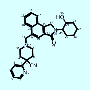 N#CC1(c2ccccn2)CCN(Cc2cc3c(c4ccccc24)CN([C@@H]2CCCC[C@@H]2O)C3=O)CC1